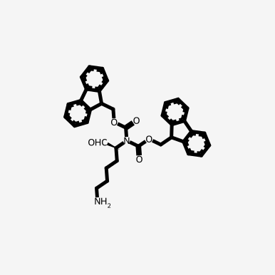 NCCCC[C@@H](C=O)N(C(=O)OCC1c2ccccc2-c2ccccc21)C(=O)OCC1c2ccccc2-c2ccccc21